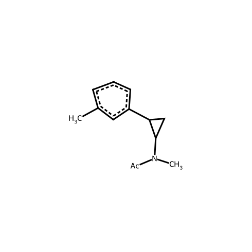 CC(=O)N(C)C1CC1c1cccc(C)c1